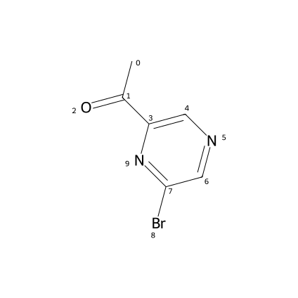 CC(=O)c1cncc(Br)n1